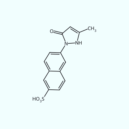 Cc1cc(=O)n(-c2ccc3cc(S(=O)(=O)O)ccc3c2)[nH]1